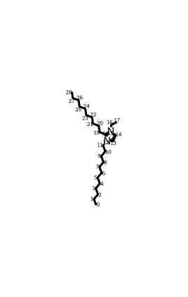 CCCCCCCCCCCC[n+]1ccn(CC)c1CCCCCCCCCC